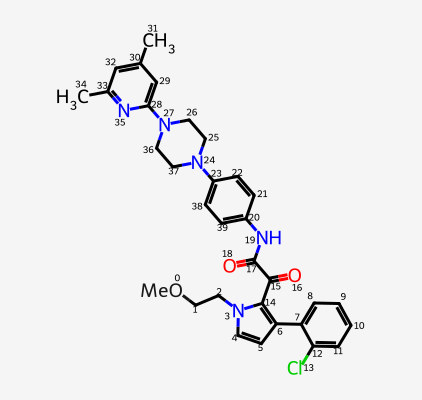 COCCn1ccc(-c2ccccc2Cl)c1C(=O)C(=O)Nc1ccc(N2CCN(c3cc(C)cc(C)n3)CC2)cc1